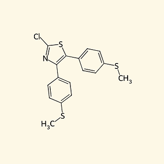 CSc1ccc(-c2nc(Cl)sc2-c2ccc(SC)cc2)cc1